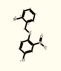 O=[N+]([O-])c1cc(Cl)ccc1OCc1ccccc1Br